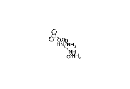 NC(=O)NCCCC(NC(=O)OCC1c2ccccc2-c2ccccc21)C(N)=O